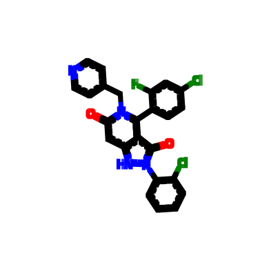 O=c1c2c(-c3ccc(Cl)cc3F)n(Cc3ccncc3)c(=O)cc2[nH]n1-c1ccccc1Cl